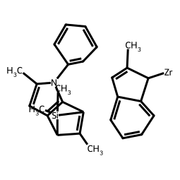 CC1=C2c3c(cc(C)n3-c3ccccc3)C1[Si]2(C)C.CC1=Cc2ccccc2[CH]1[Zr]